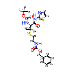 CC(C)(C)OC(=O)N[C@H](C(=O)Nc1nccs1)C(C)(C)SCCNC(=O)OCc1ccccc1